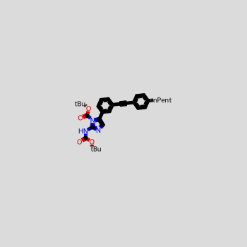 CCCCCc1ccc(C#Cc2cccc(-c3cnc(NC(=O)OC(C)(C)C)n3C(=O)OC(C)(C)C)c2)cc1